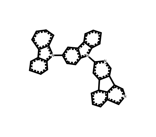 c1cc2c3c(cncc3c1)-c1cnc(-n3c4ccccc4c4cc(-n5c6ccccc6c6ccccc65)ccc43)cc1-2